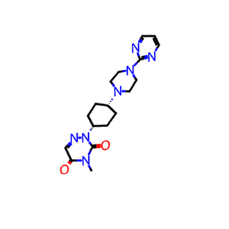 Cn1c(=O)cnn([C@H]2CC[C@@H](N3CCN(c4ncccn4)CC3)CC2)c1=O